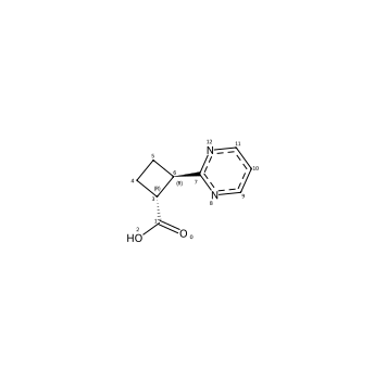 O=C(O)[C@@H]1CC[C@H]1c1ncccn1